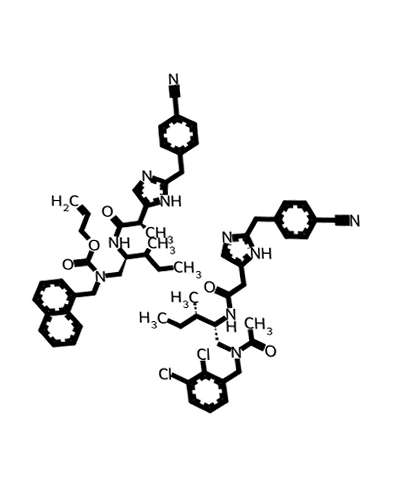 C=CCOC(=O)N(Cc1cccc2ccccc12)C[C@@H](NC(=O)[C@H](C)c1cnc(Cc2ccc(C#N)cc2)[nH]1)C(C)CC.CC[C@H](C)[C@@H](CN(Cc1cccc(Cl)c1Cl)C(C)=O)NC(=O)Cc1cnc(Cc2ccc(C#N)cc2)[nH]1